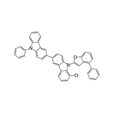 Clc1cccc2c3cc(-c4ccc5c(c4)c4ccccc4n5-c4ccccc4)ccc3n(-c3cc4c(-c5ccccc5)cccc4o3)c12